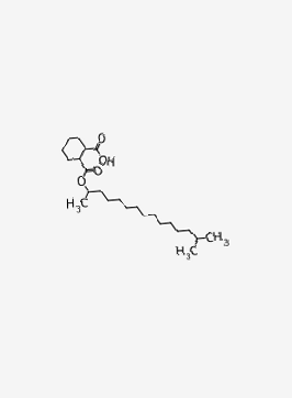 CC(C)CCCCCCCCCCCC(C)OC(=O)C1CCCCC1C(=O)O